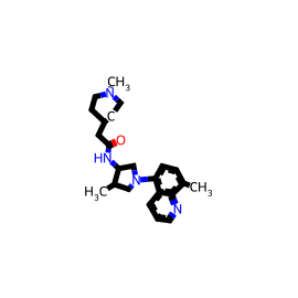 Cc1ccc(N2CC(C)C(NC(=O)CC3CCN(C)CC3)C2)c2cccnc12